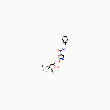 CC(C)(C)CC(O)COc1ncc(C(=O)NCCC2C3CCC2CC3)s1